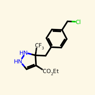 CCOC(=O)C1=CNNC1(Cc1ccc(CCl)cc1)C(F)(F)F